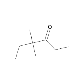 CCC(=O)C(C)(C)CC